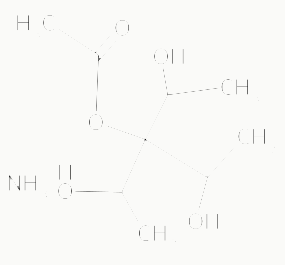 CC(=O)OC(C(C)O)(C(C)O)C(C)O.N